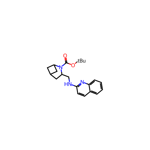 CC(C)(C)OC(=O)N1C(CNc2ccc3ccccc3n2)CC2CC1C2